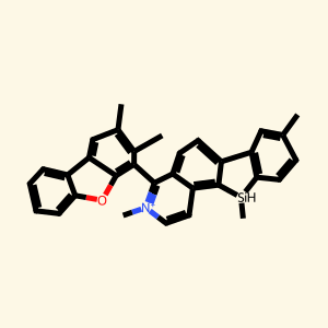 Cc1ccc2c(c1)-c1ccc3c(-c4c(C)c(C)cc5c4oc4ccccc45)[n+](C)ccc3c1[SiH]2C